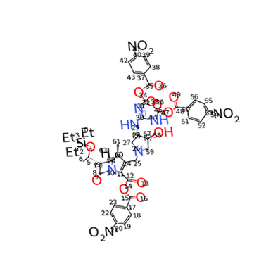 CC[Si](CC)(CC)OC(C)[C@H]1C(=O)N2C(C(=O)OC(=O)c3ccc([N+](=O)[O-])cc3)=C(CN3C[C@H](N/C(=N/C(=O)OC(=O)c4ccc([N+](=O)[O-])cc4)NC(=O)OC(=O)c4ccc([N+](=O)[O-])cc4)[C@@H](O)C3)[C@H](C)[C@H]12